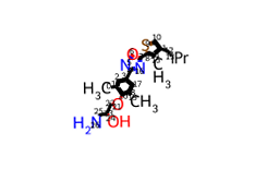 Cc1cc(-c2noc(-c3scc(CC(C)C)c3C)n2)cc(C)c1OCC(O)CN